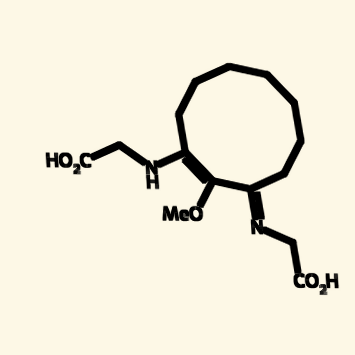 CO/C1=C(\NCC(=O)O)CCCCCCC\C1=N/CC(=O)O